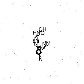 Cn1cnc(Cn2cc(CN3CCN(CCNC(=O)O)CC3)c3ccc(C#N)cc32)c1